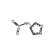 N[SH](=O)=O.c1cnoc1